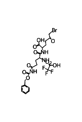 NC(CCC(=O)NC(=O)OCc1ccccc1)C(=O)NC(CCC(=O)CBr)C(=O)O.O=C(O)C(F)(F)F